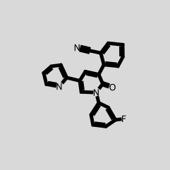 N#Cc1ccccc1-c1cc(-c2ccccn2)cn(-c2cccc(F)c2)c1=O